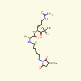 CCC(C)(C)C(=O)[C@H](CCCNC(N)=O)NC(=O)[C@@H](NC(=O)CCCCCN1C(=O)CC(C(C)(C)C)C1=O)C(C)C